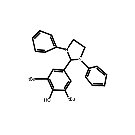 CC(C)(C)c1cc(C2N(c3ccccc3)CCN2c2ccccc2)cc(C(C)(C)C)c1O